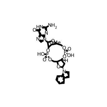 COC1C2COP(=O)(O)O[C@@H]3C[C@H](n4ccc5ccccc54)OC3COP(=O)(O)OC1C(n1cnc3c(=O)[nH]c(N)nc31)O2